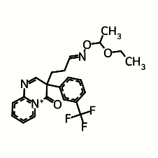 CCOC(C)ON=CCCC1(c2cccc(C(F)(F)F)c2)C=Nc2cccc[n+]2C1=O